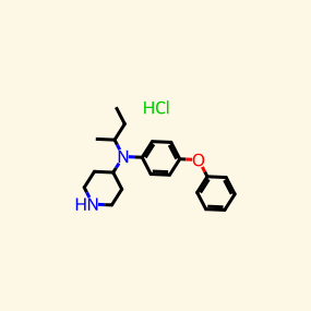 CCC(C)N(c1ccc(Oc2ccccc2)cc1)C1CCNCC1.Cl